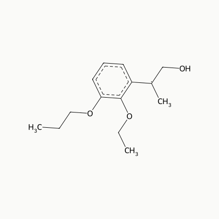 CCCOc1cccc([C](C)CO)c1OCC